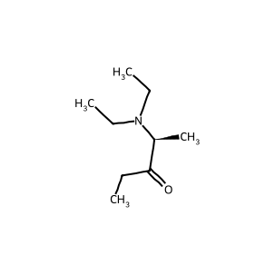 CCC(=O)[C@H](C)N(CC)CC